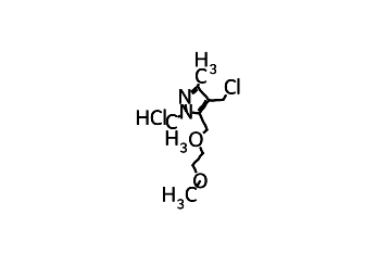 COCCOCc1c(CCl)c(C)nn1C.Cl